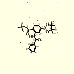 CC(C)(C)OC(=O)c1ccc(B2OC(C)(C)C(C)(C)O2)cc1NC(=O)c1ccccc1